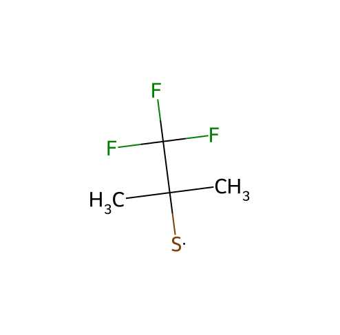 CC(C)([S])C(F)(F)F